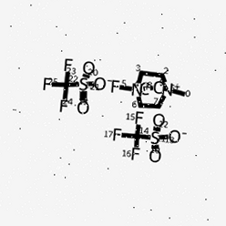 C[N+]12CC[N+](F)(CC1)CC2.O=S(=O)([O-])C(F)(F)F.O=S(=O)([O-])C(F)(F)F